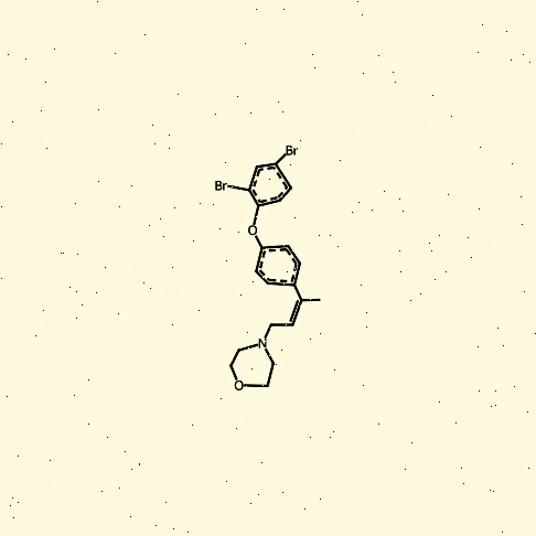 C/C(=C/CN1CCOCC1)c1ccc(Oc2ccc(Br)cc2Br)cc1